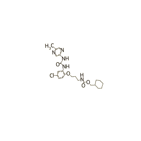 Cc1cnc(NC(=O)Nc2cc(Cl)ccc2OCCCNC(=O)OCC2CCCCC2)cn1